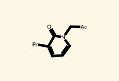 CC(=O)Cn1cccc(C(C)C)c1=O